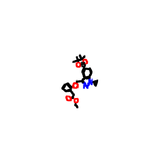 CCOC(=O)Cc1ccccc1OCc1nn(C2CC2)c2ccc(B3OC(C)(C)C(C)(C)O3)cc12